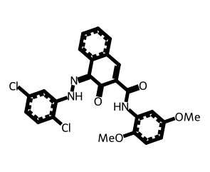 COc1ccc(OC)c(NC(=O)C2=Cc3ccccc3C(=NNc3cc(Cl)ccc3Cl)C2=O)c1